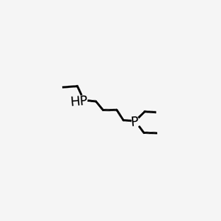 CCPCCCCP(CC)CC